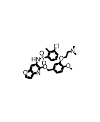 COc1ccc(COc2nc3ccoc3cc2NS(=O)(=O)c2cccc(Cl)c2C)cc1OCCN(C)C